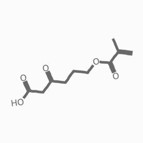 C=C(C)C(=O)OCCCC(=O)CC(=O)O